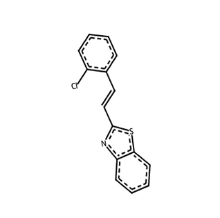 Clc1ccccc1/C=C/c1nc2ccccc2s1